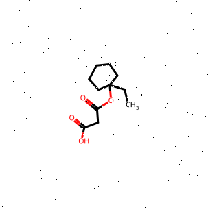 CCC1(OC(=O)CC(=O)O)CCCCC1